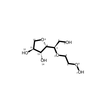 OC[C@@H](OCCOO)[C@H]1OC[C@H](O)[C@H]1O